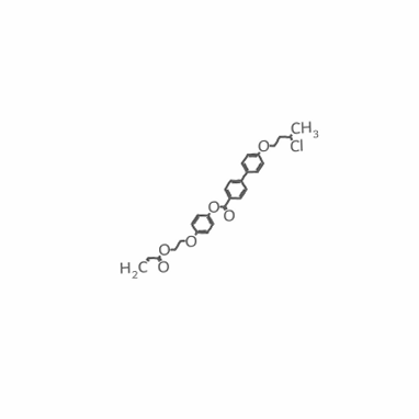 C=CC(=O)OCCOc1ccc(OC(=O)c2ccc(-c3ccc(OCCC(C)Cl)cc3)cc2)cc1